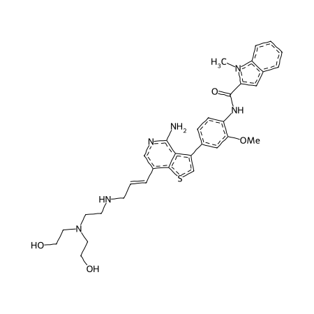 COc1cc(-c2csc3c(/C=C/CNCCN(CCO)CCO)cnc(N)c23)ccc1NC(=O)c1cc2ccccc2n1C